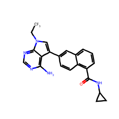 Nc1ncnc2c1c(-c1ccc3c(C(=O)NC4CC4)cccc3c1)cn2CC(F)(F)F